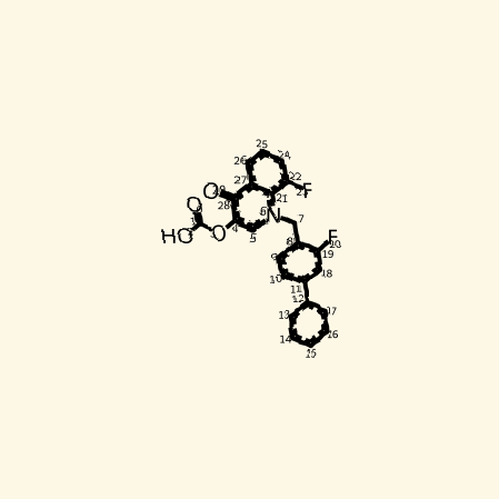 O=C(O)Oc1cn(Cc2ccc(-c3ccccc3)cc2F)c2c(F)cccc2c1=O